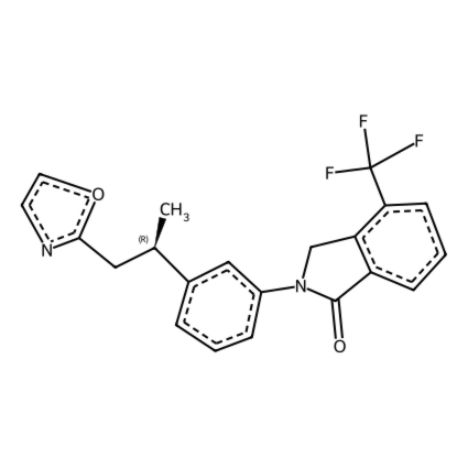 C[C@H](Cc1ncco1)c1cccc(N2Cc3c(cccc3C(F)(F)F)C2=O)c1